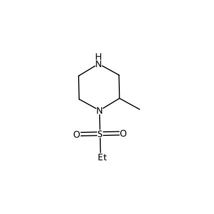 CCS(=O)(=O)N1CCNCC1C